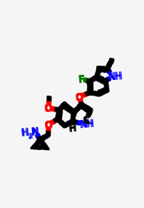 COC1=C(OCC2(N)CC2)C[C@@H]2NCC=C(Oc3ccc4[nH]c(C)cc4c3F)C2=C1